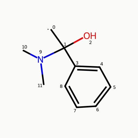 [CH2]C(O)(c1ccccc1)N(C)C